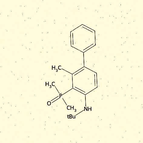 Cc1c(-c2ccccc2)ccc(NC(C)(C)C)c1P(C)(C)=O